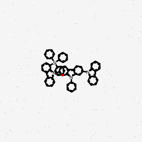 c1ccc(-n2c3cc(-n4c5ccccc5c5ccccc54)ccc3c3ccc(-n4c5ccccc5c5cccc([Si](c6ccccc6)(c6ccccc6)c6ccccc6)c54)cc32)cc1